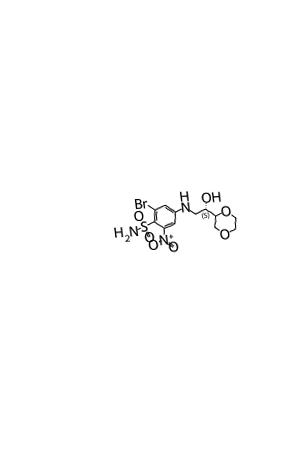 NS(=O)(=O)c1c(Br)cc(NC[C@H](O)C2COCCO2)cc1[N+](=O)[O-]